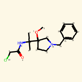 COC1(C(C)(C)NC(=O)CCl)CCN(Cc2ccccc2)C1